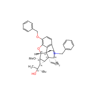 C=C[C@]12C3[C@H]([C@](C)(O)C(C)(C)C)[C@@]3(OC)[C@@H]3Oc4c(OCc5ccccc5)ccc5c4[C@@]31CCN(Cc1ccccc1)[C@@H]2C5